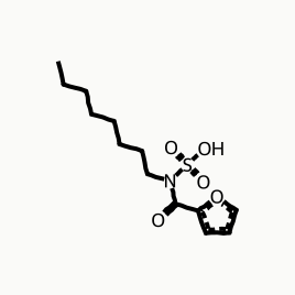 CCCCCCCCN(C(=O)c1ccco1)S(=O)(=O)O